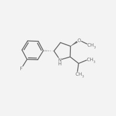 CO[C@@H]1C[C@@H](c2cccc(F)c2)NC1C(C)C